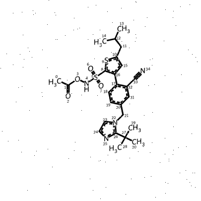 CC(=O)ONS(=O)(=O)c1sc(CC(C)C)cc1-c1ccc(Cn2ccnc2C(C)(C)C)cc1C#N